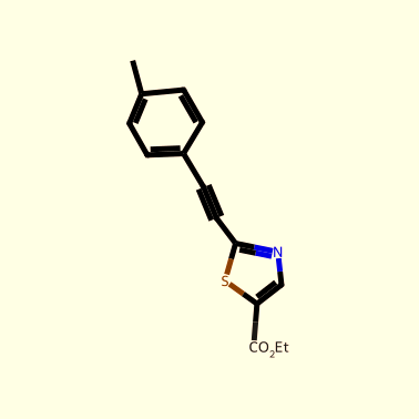 CCOC(=O)c1cnc(C#Cc2ccc(C)cc2)s1